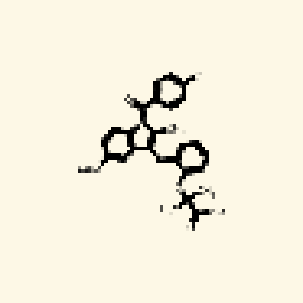 COc1ccc2c(c1)c(Cc1ccccc1OC(C)(C)C(=O)N=O)c(C)n2C(=O)c1ccc(Cl)cc1